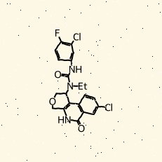 CCN(C(=O)Nc1ccc(F)c(Cl)c1)C1COCc2[nH]c(=O)c3cc(Cl)ccc3c21